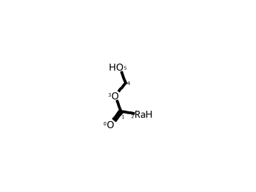 O=[C]([RaH])OCO